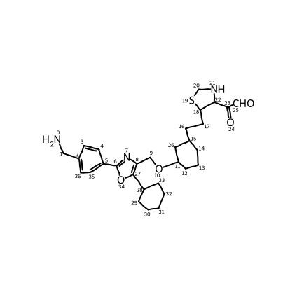 NCc1ccc(-c2nc(COC3CCCC(CCC4SCNC4C(=O)C=O)C3)c(C3CCCCC3)o2)cc1